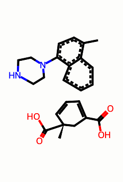 C[C@@]1(C(=O)O)C=CC=C(C(=O)O)C1.Cc1ccc(N2CCNCC2)c2ccccc12